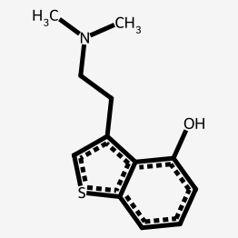 CN(C)CCc1csc2cccc(O)c12